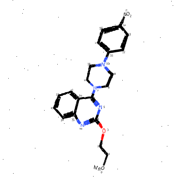 COCCOc1nc(N2CCN(c3ccc([N+](=O)[O-])cc3)CC2)c2ccccc2n1